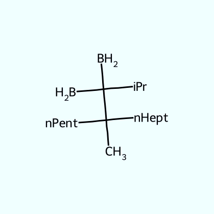 BC(B)(C(C)C)C(C)(CCCCC)CCCCCCC